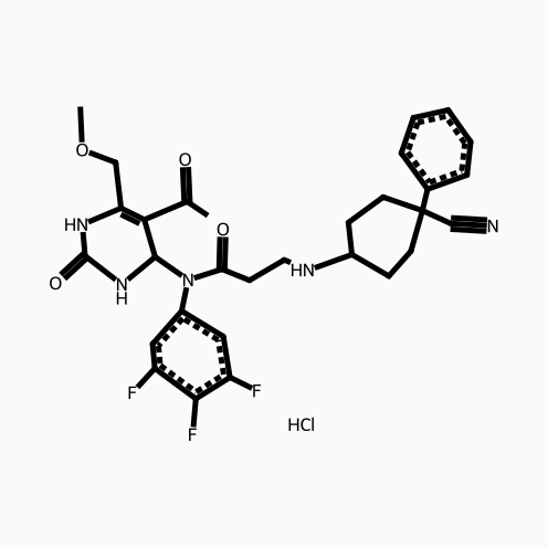 COCC1=C(C(C)=O)C(N(C(=O)CCNC2CCC(C#N)(c3ccccc3)CC2)c2cc(F)c(F)c(F)c2)NC(=O)N1.Cl